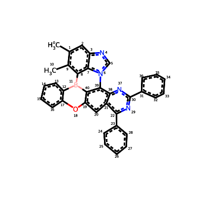 Cc1cc2ncn3c2c(c1C)B1c2ccccc2Oc2cc4c(-c5ccccc5)nc(-c5ccccc5)nc4c-3c21